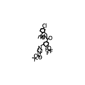 CC[S+]([O-])c1ccc(Cl)cc1CNC(=O)c1cc(CN2CCN(C(=O)OC(C)(C)C)CC2)cc(OC(F)(F)F)c1